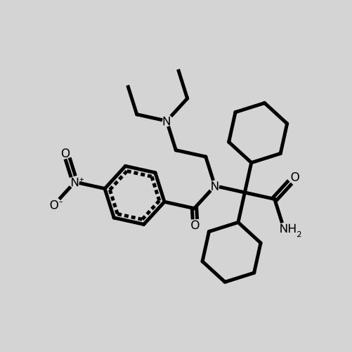 CCN(CC)CCN(C(=O)c1ccc([N+](=O)[O-])cc1)C(C(N)=O)(C1CCCCC1)C1CCCCC1